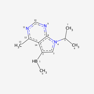 CBc1cn(C(C)C)c2ncnc(C)c12